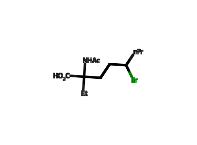 CCCC(Br)CCC(CC)(NC(C)=O)C(=O)O